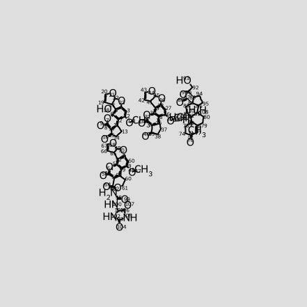 COc1cc2c(c3oc(=O)c4c(c13)CCC4=O)C1(O)C=COC1O2.COc1cc2c(c3oc(=O)c4c(c13)CCC4=O)C1C=COC1O2.COc1cc2c(c3oc(=O)c4c(c13)CCOC4=O)C1C=COC1O2.C[C@]12CCC(=O)C=C1CC[C@@H]1[C@@H]2[C@@H](O)C[C@]2(C=O)[C@@H](C(=O)CO)CC[C@@H]12.NC(=O)NC1NC(=O)NC1=O